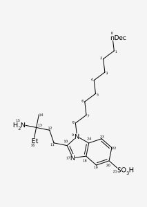 CCCCCCCCCCCCCCCCCCn1c(CCC(C)(N)CC)nc2cc(S(=O)(=O)O)ccc21